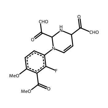 COC(=O)c1c(OC)ccc(N2C=CC(C(=O)C=O)NC2C(=O)C=O)c1F